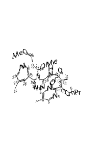 CCCO[C@@H](c1ncc(C)cn1)[C@H](C)S(=O)(=O)Nc1nnc(-c2cncc(C)c2)n1C(CCOC)OC